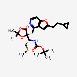 CSC[C@@H](NC(=O)OC(C)(C)C)[C@@]1(Cc2nccc3oc(CCC4CC4)cc23)OC(C)(C)OC1=O